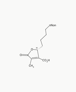 CCCCCCCCCCCCC[C@H]1OC(=O)C(C)=C1C(=O)O